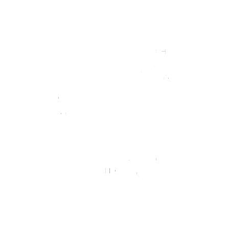 COc1ccc(C2(c3ccc(OC(C)=O)cc3)CC(C)C(C)(C)C2)cc1